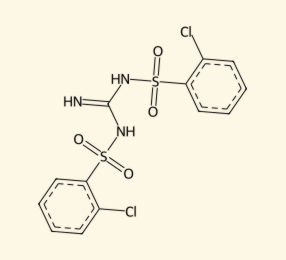 N=C(NS(=O)(=O)c1ccccc1Cl)NS(=O)(=O)c1ccccc1Cl